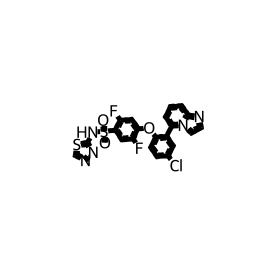 O=S(=O)(Nc1nncs1)c1cc(F)c(Oc2ccc(Cl)cc2-c2cccc3nccn23)cc1F